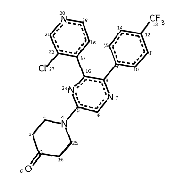 O=C1CCN(c2cnc(-c3ccc(C(F)(F)F)cc3)c(-c3ccncc3Cl)n2)CC1